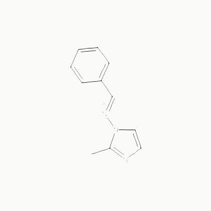 Cc1nccn1/N=C/c1ccccc1